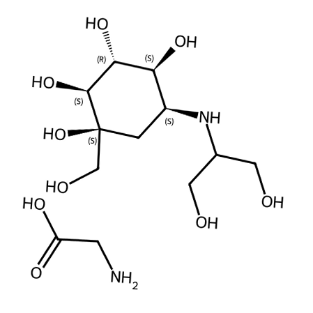 NCC(=O)O.OCC(CO)N[C@H]1C[C@](O)(CO)[C@@H](O)[C@H](O)[C@H]1O